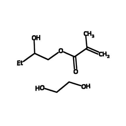 C=C(C)C(=O)OCC(O)CC.OCCO